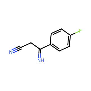 N#CCC(=N)c1ccc(F)cc1